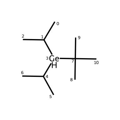 C[CH](C)[GeH]([CH](C)C)[C](C)(C)C